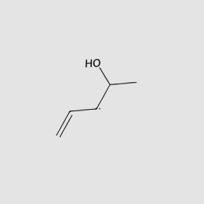 C=C[CH]C(C)O